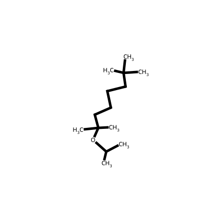 CC(C)OC(C)(C)CCCCC(C)(C)C